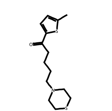 Cc1ccc(C(=O)CCCCN2CCSCC2)s1